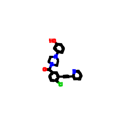 O=C(c1ccc(Cl)c(C#Cc2ccccn2)c1)N1CCN(c2cccc(O)c2)CC1